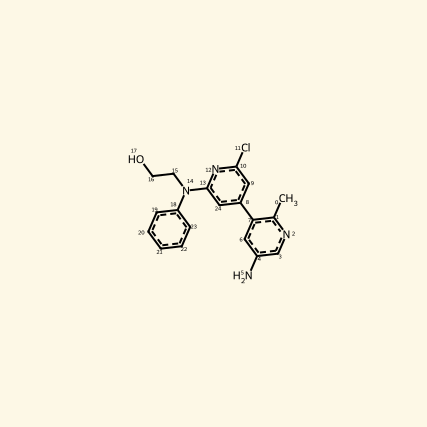 Cc1ncc(N)cc1-c1cc(Cl)nc(N(CCO)c2ccccc2)c1